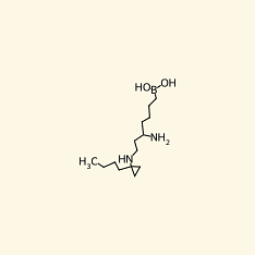 CCCCC1(NCCC(N)CCCCB(O)O)CC1